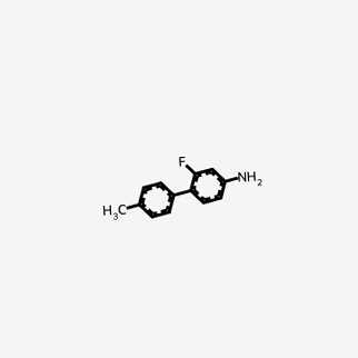 Cc1ccc(-c2ccc(N)cc2F)cc1